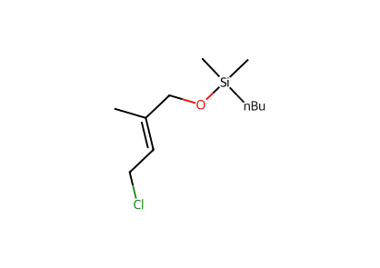 CCCC[Si](C)(C)OCC(C)=CCCl